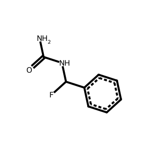 NC(=O)NC(F)c1ccccc1